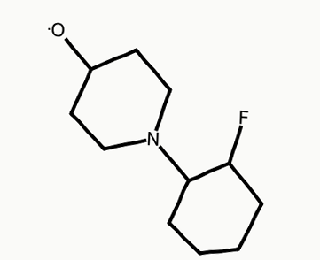 [O]C1CCN(C2CCCCC2F)CC1